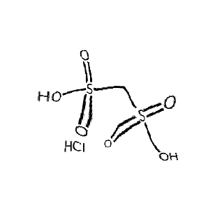 Cl.O=S(=O)(O)CS(=O)(=O)O